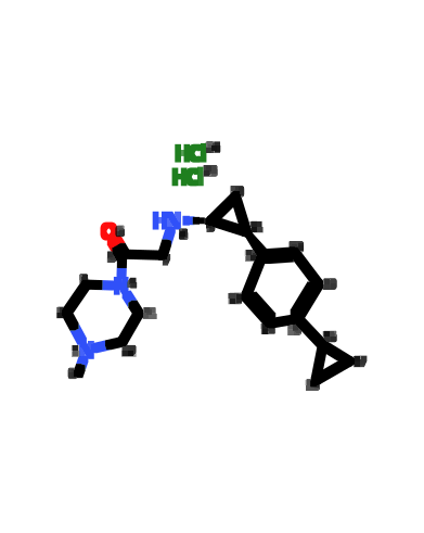 CN1CCN(C(=O)CN[C@@H]2C[C@H]2c2ccc(C3CC3)cc2)CC1.Cl.Cl